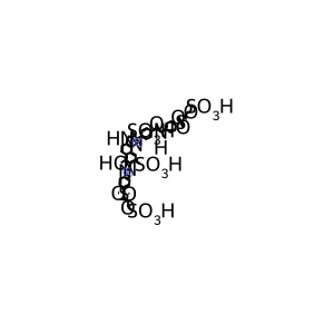 O=C(Nc1ccc(S(=O)(=O)CCOS(=O)(=O)O)cc1)c1ccc(/N=N/c2c(NCS(=O)(=O)O)ccc3c(O)c(/N=N/c4ccc(S(=O)(=O)CCOS(=O)(=O)O)cc4)c(S(=O)(=O)O)cc23)cc1